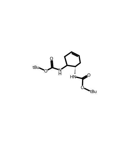 CC(C)(C)OC(=O)NC1CC=CC[C@@H]1NC(=O)OC(C)(C)C